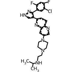 CC(C)NCCN1CCN(c2cnc3ccc(-c4c[nH]nc4-c4cc(Cl)c(F)cc4F)nc3c2)CC1